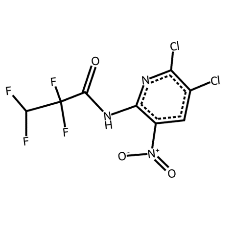 O=C(Nc1nc(Cl)c(Cl)cc1[N+](=O)[O-])C(F)(F)C(F)F